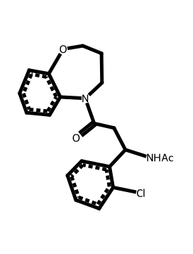 CC(=O)NC(CC(=O)N1CCCOc2ccccc21)c1ccccc1Cl